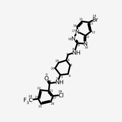 O=C(NC1CCC(CNc2nc3cc(Br)ccn3n2)CC1)c1cc(C(F)(F)F)ccc1Cl